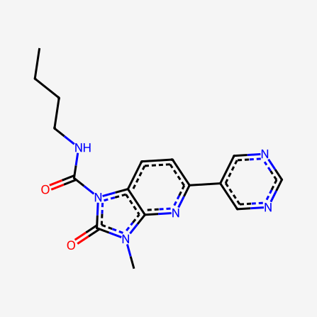 CCCCNC(=O)n1c(=O)n(C)c2nc(-c3cncnc3)ccc21